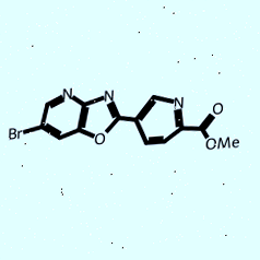 COC(=O)c1ccc(-c2nc3ncc(Br)cc3o2)cn1